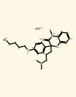 CN(C)CCCC1(c2ccc(OCCCCBr)cc2)Sc2ccccc2N(C)C1=O.Cl